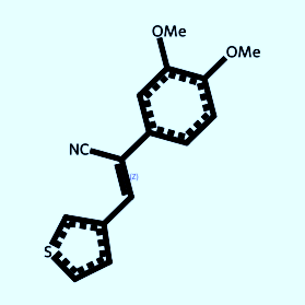 COc1ccc(/C(C#N)=C/c2ccsc2)cc1OC